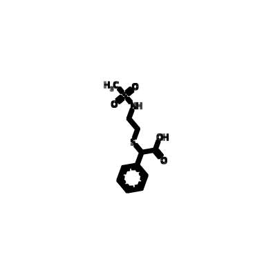 CS(=O)(=O)NCCSC(C(=O)O)c1ccccc1